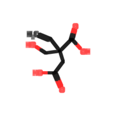 C=CC(CO)(CC(=O)O)C(=O)O